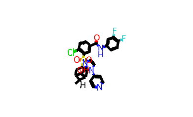 C[C@H]1C2CC(S(=O)(=O)c3cc(C(=O)Nc4ccc(F)c(F)c4)ccc3Cl)CC1[C@@]2(O)c1nccn1-c1ccncc1